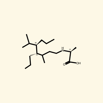 CCC[C@H](C(C)C)[C@@H](CCC)C(C)CCN[C@@H](C)C(=O)O